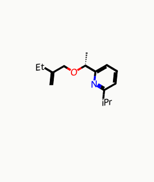 C=C(CC)CO[C@H](C)c1cccc(C(C)C)n1